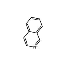 [C]1=[N+]C=Cc2ccccc21